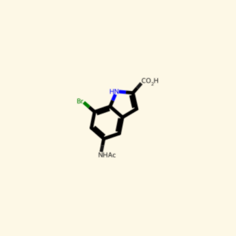 CC(=O)Nc1cc(Br)c2[nH]c(C(=O)O)cc2c1